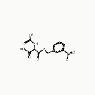 CC(=O)NC(C(=O)O)C(=O)OCc1cccc([N+](=O)[O-])c1